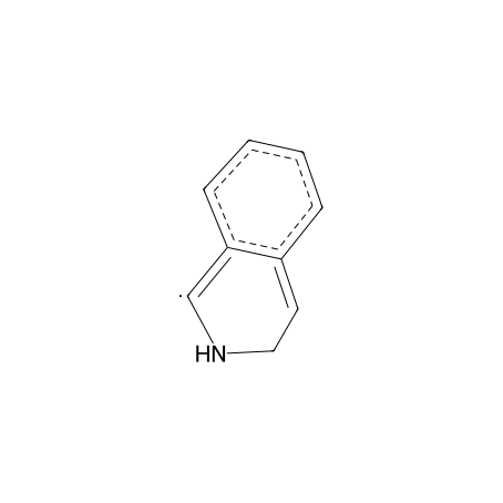 [C]1=c2ccccc2=CCN1